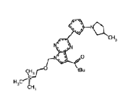 CC1CCN(c2cccc(-c3cnc4c(n3)c(C(=O)C(C)(C)C)cn4COCC[Si](C)(C)C)c2)C1